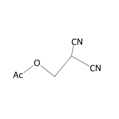 CC(=O)OCC(C#N)C#N